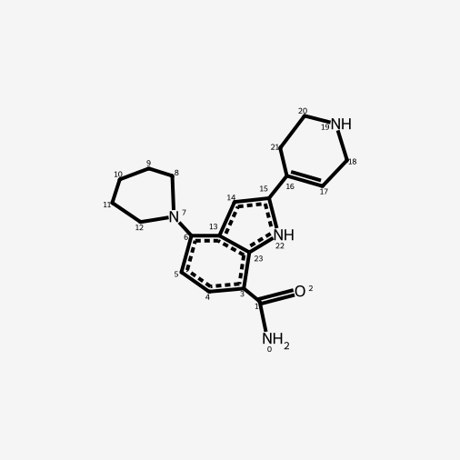 NC(=O)c1ccc(N2CCCCC2)c2cc(C3=CCNCC3)[nH]c12